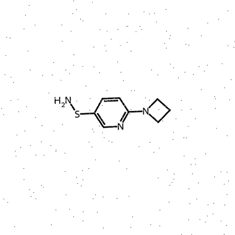 NSc1ccc(N2CCC2)nc1